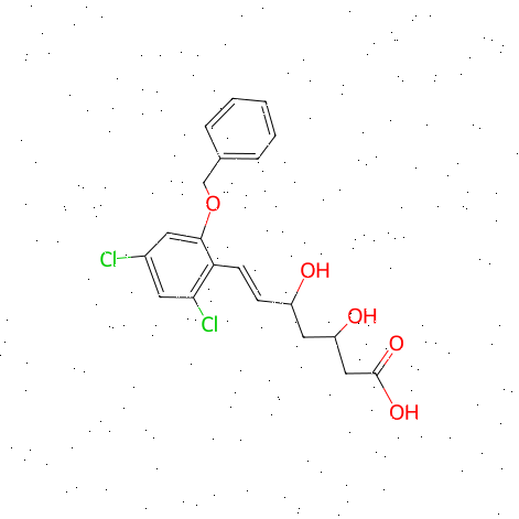 O=C(O)CC(O)CC(O)C=Cc1c(Cl)cc(Cl)cc1OCc1ccccc1